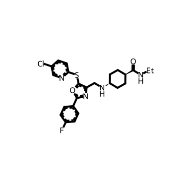 CCNC(=O)[C@H]1CC[C@H](NCc2nc(-c3ccc(F)cc3)oc2Sc2ccc(Cl)cn2)CC1